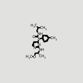 COC[C@H](C)Nc1nccc(N(C(=O)NCC(C)C)c2ccc(C)cc2)n1